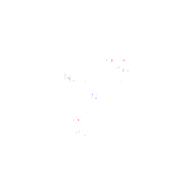 CC1(C)CN(CCCS(=O)(=O)[O-])c2ccc(S(=O)(=O)[O-])cc21.[K+].[K+]